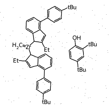 CC(C)(C)c1ccc(O)c(C(C)(C)C)c1.[CH2]=[Zr]([CH]1C(CC)=Cc2c(-c3ccc(C(C)(C)C)cc3)cccc21)[CH]1C(CC)=Cc2c(-c3ccc(C(C)(C)C)cc3)cccc21